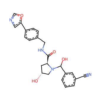 N#Cc1cccc(C(O)N2C[C@H](O)C[C@H]2C(=O)NCc2ccc(-c3cnco3)cc2)c1